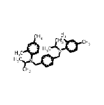 Cc1ccc(N(Cc2ccc(CN(c3ccc(C)cc3C)C(C)C)cc2)C(C)C)c(C)c1